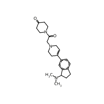 CN(C)C1CCc2ccc(C3=CCN(CC(=O)N4CCC(=O)CC4)CC3)cc21